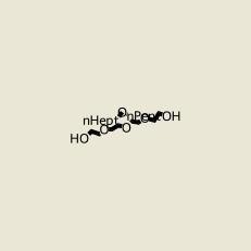 CCCCCCCOCCCCC.OCCOCCOCCOCCO